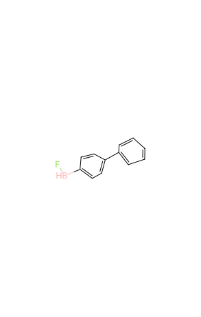 FBc1ccc(-c2ccccc2)cc1